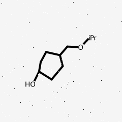 CC(C)OCC1CCC(O)CC1